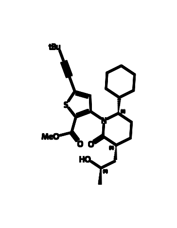 COC(=O)c1sc(C#CC(C)(C)C)cc1N1C(=O)[C@@H](C[C@@H](C)O)CC[C@H]1C1CCCCC1